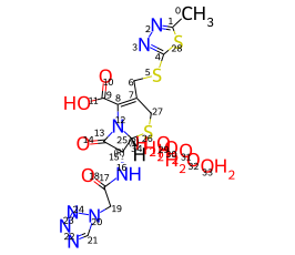 Cc1nnc(SCC2=C(C(=O)O)N3C(=O)[C@@H](NC(=O)Cn4cnnn4)[C@H]3SC2)s1.O.O.O.O.O